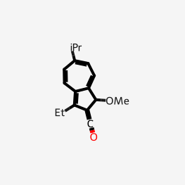 CCC1=C2C=CC(C(C)C)=CC=C2C(OC)C1=C=O